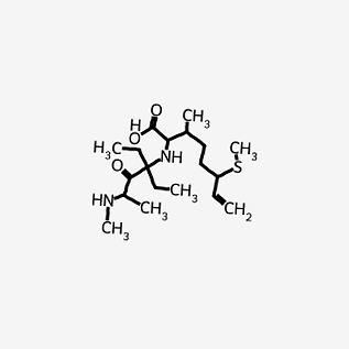 C=CC(CCC(C)C(NC(CC)(CC)C(=O)C(C)NC)C(=O)O)SC